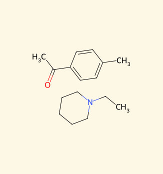 CC(=O)c1ccc(C)cc1.CCN1CCCCC1